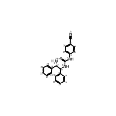 N#Cc1ccc(NC(=S)N[C@@H](c2ccccc2)[C@@H](N)c2ccccc2)cc1